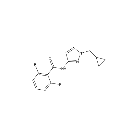 O=C(Nc1ccn(CC2CC2)n1)c1c(F)cccc1F